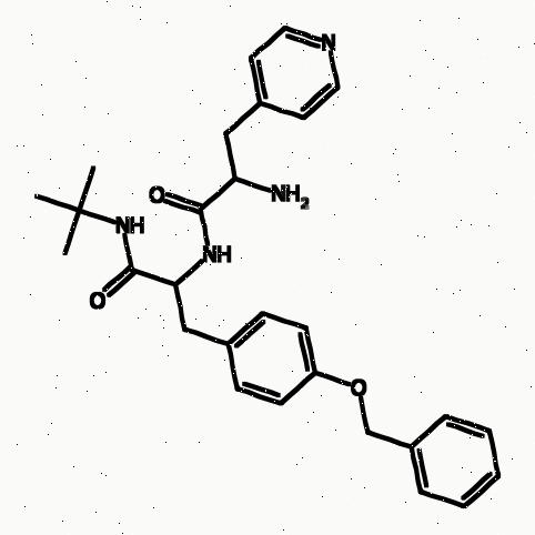 CC(C)(C)NC(=O)C(Cc1ccc(OCc2ccccc2)cc1)NC(=O)C(N)Cc1ccncc1